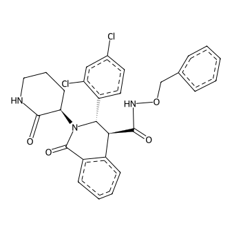 O=C1NCCC[C@H]1N1C(=O)c2ccccc2[C@H](C(=O)NOCc2ccccc2)[C@H]1c1ccc(Cl)cc1Cl